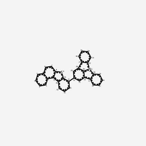 c1ccc2c(c1)ccc1sc3c(-c4cc5c6ccccc6n6c7ccccc7c(c4)c56)cccc3c12